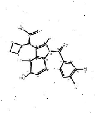 Cc1c(C(C(=O)O)C2CCC2)c2c(F)c(O)ccc2n1C(=O)c1ccc(Cl)c(Cl)c1